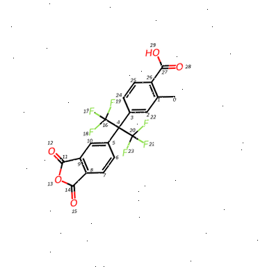 Cc1cc(C(c2ccc3c(c2)C(=O)OC3=O)(C(F)(F)F)C(F)(F)F)ccc1C(=O)O